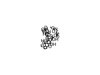 CCOC(=O)N(C)CCN(C)C(=O)OCC(=O)[C@]1(O)Cc2c(O)c3c(c(O)c2[C@@H](O[C@H]2C[C@H]4[C@H](O[C@@H]5[C@@H](OC)OCCN54)[C@H](C)O2)C1)C(=O)c1c(OC)cccc1C3=O